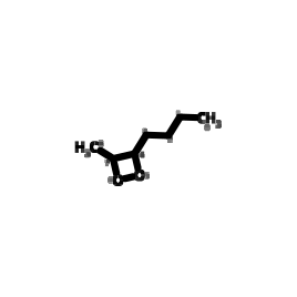 CCCCC1OO[C]1C